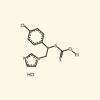 CCOC(=S)SC(Cn1ccnc1)c1ccc(Cl)cc1.Cl